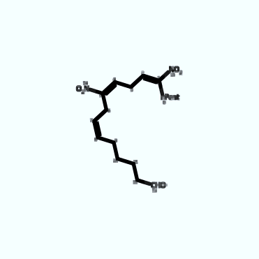 CCCCC/C(=C\C/C=C(\C/C=C\CCCC[C]=O)[N+](=O)[O-])[N+](=O)[O-]